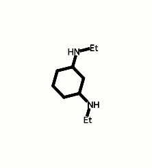 CCNC1CCCC(NCC)C1